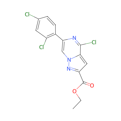 CCOC(=O)c1cc2c(Cl)nc(-c3ccc(Cl)cc3Cl)cn2n1